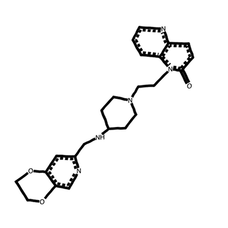 O=c1ccc2ncccc2n1CCN1CCC(NCc2cc3c(cn2)OCCO3)CC1